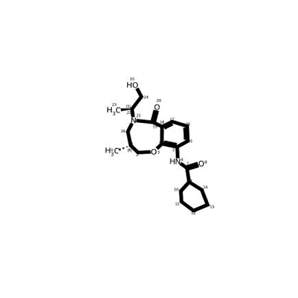 C[C@H]1COc2c(NC(=O)C3CCCCC3)cccc2C(=O)N([C@@H](C)CO)C1